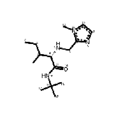 CCC(C)[C@H](NCc1nccn1C)C(=O)NC(C)(C)C